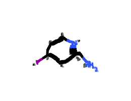 Nc1[c]c(I)ccn1